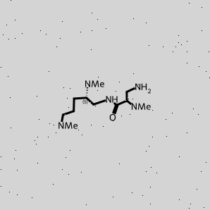 CNCCC[C@@H](CNC(=O)C(CN)NC)NC